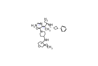 C=C(NC[C@H]1C[C@@H](c2ccccc2)C1)/C(C)=C(\N=C/N)C(=O)N1CCC(N[C@@H]2CCOC[C@@H]2OC)CC1